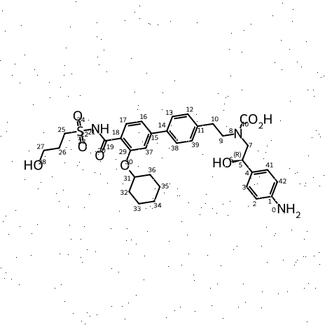 Nc1ccc([C@@H](O)CN(CCc2ccc(-c3ccc(C(=O)NS(=O)(=O)CCCO)c(OC4CCCCC4)c3)cc2)C(=O)O)cc1